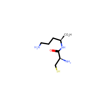 NCCC[C@H](NC(=O)[C@@H](N)CS)C(=O)O